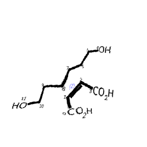 O=C(O)/C=C\C(=O)O.OCCCCCCO